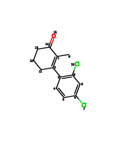 CC1=C(c2ccc(Cl)cc2Cl)CCCC1=O